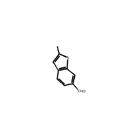 Cc1cc2ccc(C=O)cc2s1